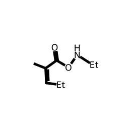 CCC=C(C)C(=O)ONCC